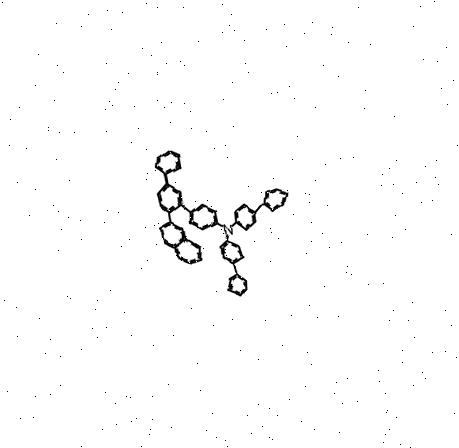 c1ccc(-c2ccc(N(c3ccc(-c4ccccc4)cc3)c3ccc(-c4cc(-c5ccccc5)ccc4-c4ccc5ccccc5c4)cc3)cc2)cc1